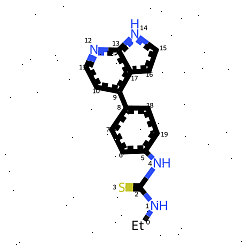 CCNC(=S)Nc1ccc(-c2ccnc3[nH]ccc23)cc1